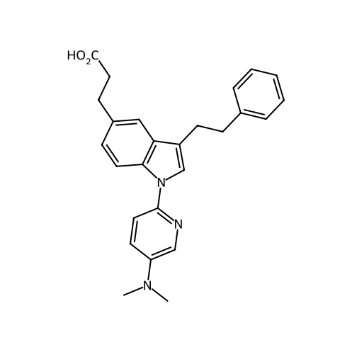 CN(C)c1ccc(-n2cc(CCc3ccccc3)c3cc(CCC(=O)O)ccc32)nc1